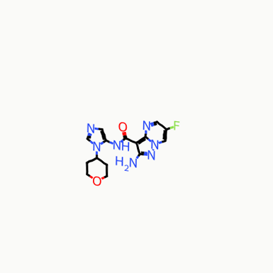 Nc1nn2cc(F)cnc2c1C(=O)Nc1cncn1C1CCOCC1